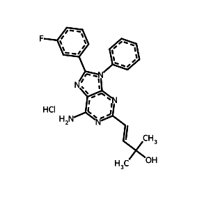 CC(C)(O)C=Cc1nc(N)c2nc(-c3cccc(F)c3)n(-c3ccccc3)c2n1.Cl